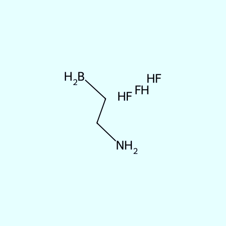 BCCN.F.F.F